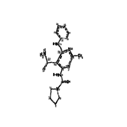 Cc1nc(NC(=O)N2CCCC2)c(C(N)=O)c(Nc2ccccc2)n1